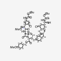 CO/N=C(\C(=O)N[C@@H]1C(=O)N2C(C(=O)OCc3ccc(OC)cc3)=C(C[n+]3ccc4ccn(Cc5c(F)cc(C(=N)NC(=O)OC(C)(C)C)cc5Cl)c4c3)CS[C@H]12)c1nc(NC(=O)OC(C)(C)C)sc1Cl